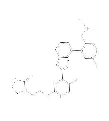 CCN(C)Cc1cnc(F)cc1-c1cccc2cc(-c3nc(NCCN4CCNC4=O)ncc3F)sc12